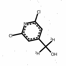 [2H]C([2H])(O)c1cc(Cl)nc(Cl)c1